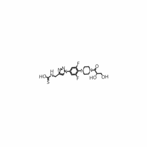 O=C([C@H](O)CO)N1CCN(c2c(F)cc(-n3cc(CNC(O)=S)nn3)cc2F)CC1